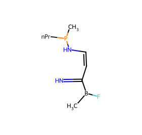 CCCP(C)N/C=C\C(=N)B(C)F